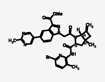 C=C1C[C@]2(C)C[C@@H](C(=O)Nc3nc(Br)ccc3C)N(C(=O)Cn3nc(C(=O)OC)c4cc(-c5cnc(C)nc5)ccc43)[C@H]12